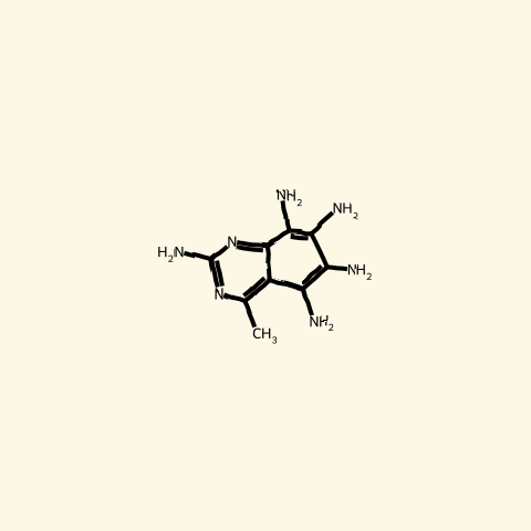 Cc1nc(N)nc2c(N)c(N)c(N)c(N)c12